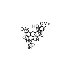 COc1c(C)cc2c(c1O)[C@@H]1C3Cc4c(OC(C)=O)c(C)c5c(c4[C@H](CNC(=O)CC(C)C)N3C(C#N)[C@H](C2)N1C)OCO5